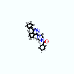 CC1CN(C(=O)C2CCCCC2)CCN1c1nnc(-c2ccccc2)c2ccccc12